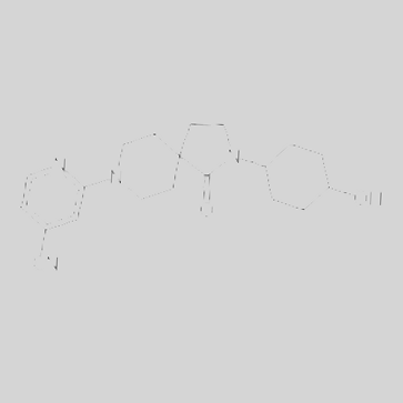 N#Cc1ccnc(N2CCC3(CC2)CCN(C2CCC(O)CC2)C3=O)c1